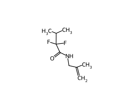 C=C(C)CNC(=O)C(F)(F)C(C)C